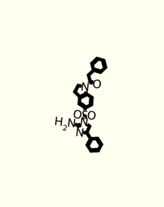 NC1=NC(c2ccccc2)CN1S(=O)(=O)c1ccc2c(c1)CCN2C(=O)Cc1ccccc1